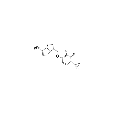 CCCC1=CCC2C(COc3ccc(C4CO4)c(F)c3F)CCC12